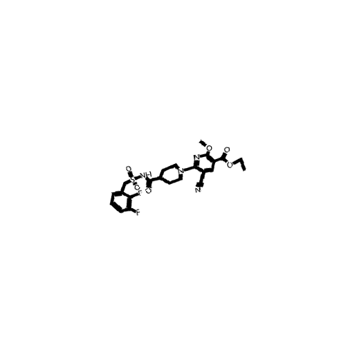 CCOC(=O)c1cc(C#N)c(N2CCC(C(=O)NS(=O)(=O)Cc3cccc(F)c3F)CC2)nc1OC